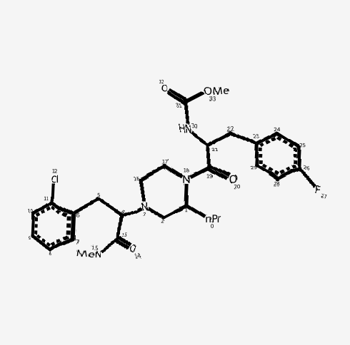 CCCC1CN(C(Cc2ccccc2Cl)C(=O)NC)CCN1C(=O)C(Cc1ccc(F)cc1)NC(=O)OC